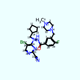 CN1CCN(Cc2cc(C(=O)NN(CC3CCCC3)c3nc(C#N)ncc3Br)ccc2F)CC1